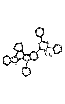 CN1C(c2ccc3c(c2)c2c4ccccc4c4c5ccccc5oc4c2n3-c2ccccc2)=NC(c2ccccc2)=NC1c1ccccc1